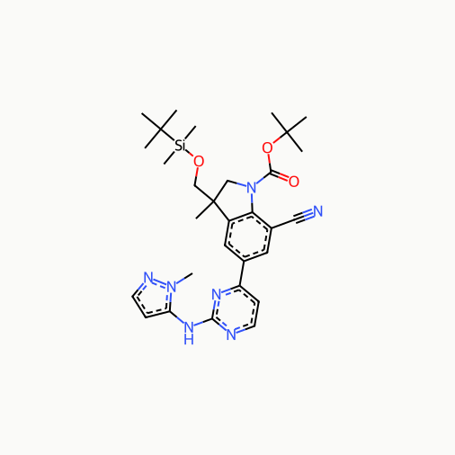 Cn1nccc1Nc1nccc(-c2cc(C#N)c3c(c2)C(C)(CO[Si](C)(C)C(C)(C)C)CN3C(=O)OC(C)(C)C)n1